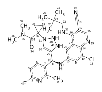 Cc1nc(F)ccc1[C@H](Nc1cc(Cl)c2ncc(C#N)c(NCC(C)(C)C)c2c1)C1=CN(C2(C(=O)N(C)C)CC2)NN1